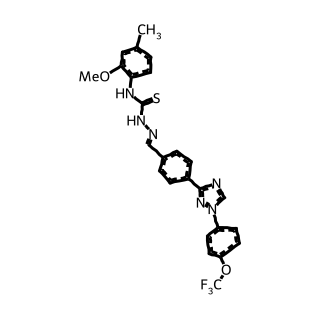 COc1cc(C)ccc1NC(=S)N/N=C/c1ccc(-c2ncn(-c3ccc(OC(F)(F)F)cc3)n2)cc1